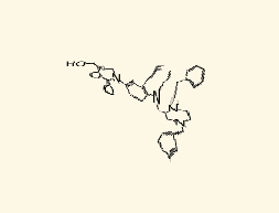 CCN(CC1CN(Cc2ccccc2)CCN1Cc1ccccc1)c1ccc(N2C[C@H](CO)OC2=O)cc1F